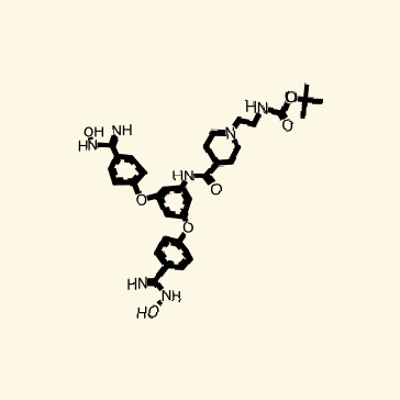 CC(C)(C)OC(=O)NCCN1CCC(C(=O)Nc2cc(Oc3ccc(C(=N)NO)cc3)cc(Oc3ccc(C(=N)NO)cc3)c2)CC1